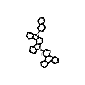 c1ccc2cc(-n3c4ccccc4c4c5c6ccccc6n(-c6cnc7c8ccccc8c8ccccc8c7n6)c5ccc43)ccc2c1